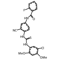 COc1cc(OC)c(NC(=S)Nc2ccc(NC(=O)c3ccccc3F)cc2C#N)cc1Cl